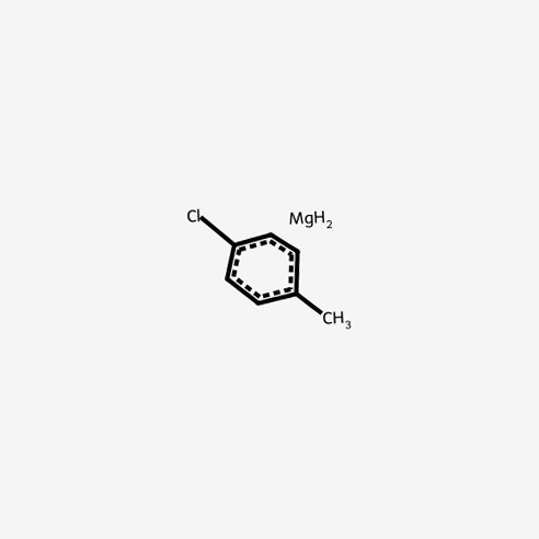 Cc1ccc(Cl)cc1.[MgH2]